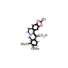 CCC1Oc2cc3c(cc2O1)C1=C(C(=O)O)c2ccc(OC)c(OC)c2CN1CC3